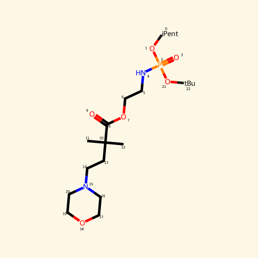 CCCC(C)OP(=O)(NCCOC(=O)C(C)(C)CCN1CCOCC1)OC(C)(C)C